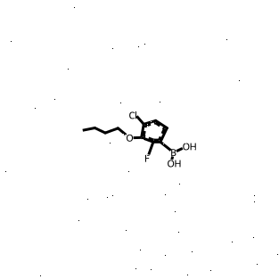 CCCCOc1c(Cl)ccc(B(O)O)c1F